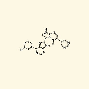 Fc1cccc(-c2nccc3[nH]c(-c4n[nH]c5ncc(-c6cncnc6)c(F)c45)nc23)c1